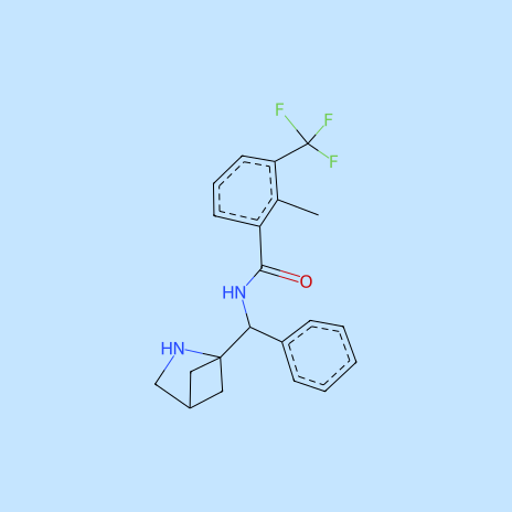 Cc1c(C(=O)NC(c2ccccc2)C23CC(CN2)C3)cccc1C(F)(F)F